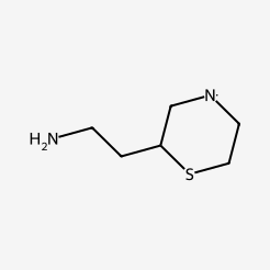 NCCC1C[N]CCS1